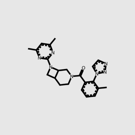 Cc1cc(C)nc(N2CC3CCN(C(=O)c4cccc(C)c4-n4ccnn4)CC32)n1